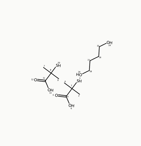 CC(C)(S)C(=O)O.CC(C)(S)C(=O)O.OCCCCO